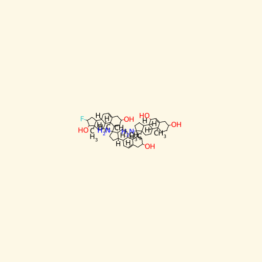 C[C@]12C(=CC[C@@H]3[C@H]1CC[C@]1(C)C(O)C(F)C[C@@H]31)CC(O)C=C2C1(N)CC[C@H]2[C@@H]3CC=C4CC(O)CC(C5(N)CC[C@H]6[C@@H]7C(O)C=C8CC(O)CC[C@]8(C)[C@@H]7CC[C@@]65C)[C@]4(C)[C@@H]3CC[C@@]21C